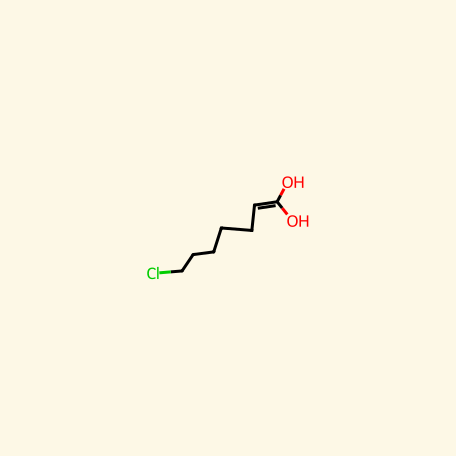 OC(O)=CCCCCCCl